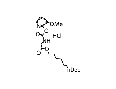 CCCCCCCCCCCCCCCCOC(=O)CNC(=O)Oc1ncccc1OC.Cl